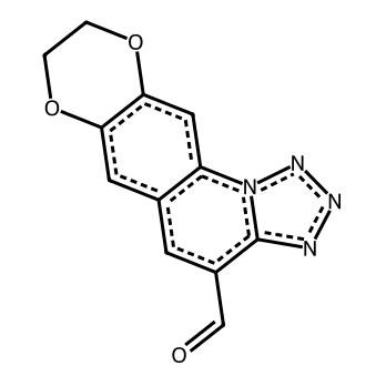 O=Cc1cc2cc3c(cc2n2nnnc12)OCCO3